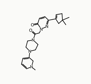 CN1C=CC=C(N2CCN(C(=O)Cn3nc(C4=CCC(C)(C)C4)ccc3=O)CC2)C1